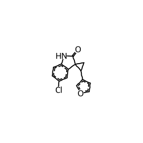 O=C1Nc2ccc(Cl)cc2C12CC2c1ccoc1